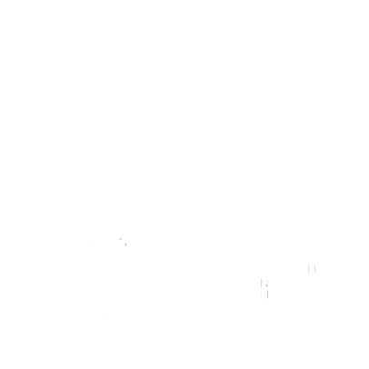 O=C(NO)c1ccc2c(c1)N(CCc1ccc(Cl)cc1)C(=O)CO2